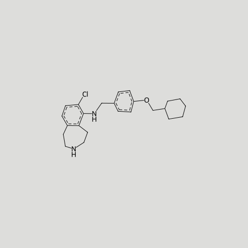 Clc1ccc2c(c1NCc1ccc(OCC3CCCCC3)cc1)CCNCC2